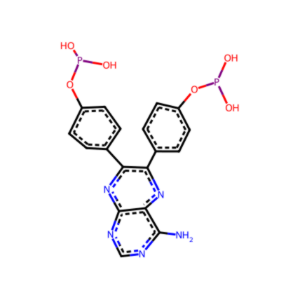 Nc1ncnc2nc(-c3ccc(OP(O)O)cc3)c(-c3ccc(OP(O)O)cc3)nc12